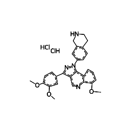 COc1ccc(-c2nn(-c3ccc4c(c3)CNCC4)c3c2cnc2c(OC)cccc23)cc1OC.Cl.Cl